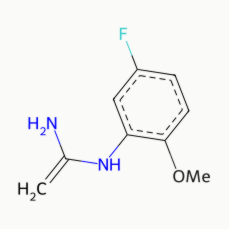 C=C(N)Nc1cc(F)ccc1OC